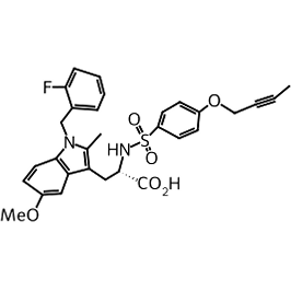 CC#CCOc1ccc(S(=O)(=O)N[C@@H](Cc2c(C)n(Cc3ccccc3F)c3ccc(OC)cc23)C(=O)O)cc1